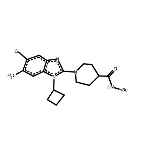 CCCCNC(=O)C1CCN(c2nc3cc(Cl)c(C)cc3n2C2CCC2)CC1